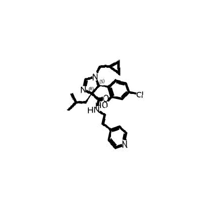 CC(C)C[C@@]1(C(=O)NCCc2ccncc2)N=CN(CC2CC2)[C@H]1c1ccc(Cl)cc1O